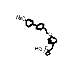 COc1ccc(-c2ccc(CCOc3ccc(CC4(C(=O)O)CCC4)cc3)cc2)cc1